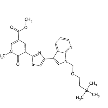 COC(=O)c1cc(-c2nc(-c3cn(COCC[Si](C)(C)C)c4ncccc34)cs2)c(=O)n(C)c1